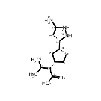 CC(C)N(C(=O)O)[C@H]1CC[C@@H]([C@@H]2CC(N)NN2)C1